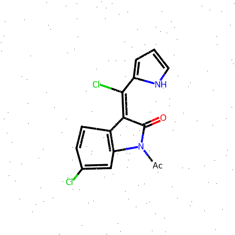 CC(=O)N1C(=O)C(=C(Cl)c2ccc[nH]2)c2ccc(Cl)cc21